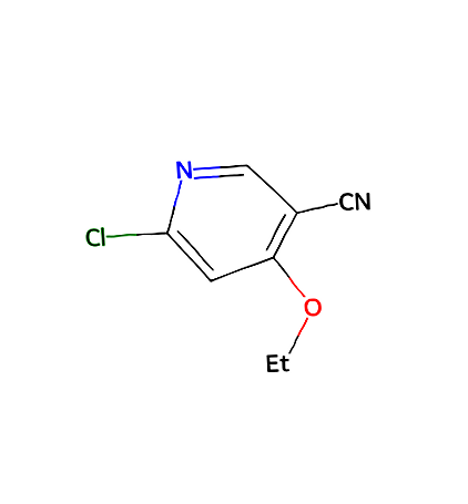 CCOc1cc(Cl)ncc1C#N